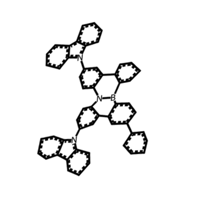 c1ccc(-c2ccc3c(c2)-c2cc(-n4c5ccccc5c5ccccc54)ccc2N2B3c3ccccc3-c3cc(-n4c5ccccc5c5ccccc54)ccc32)cc1